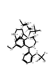 CSc1ccc2c(c1)C(c1ccccc1OC(F)(F)F)OCC(=O)[N@@+]2(CC(C)(C)C)[C@@]1(C(=O)O)CCNC[C@@H]1C(C)=O